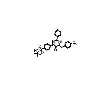 COc1ccc(CC(NC(=O)c2ccncc2)C(=O)Nc2ccc(S(=O)(=O)NC(C)(C)C)cc2)cc1